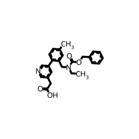 CCN(Cc1cc(C)ccc1-c1cncc(CC(=O)O)c1)C(=O)OCc1ccccc1